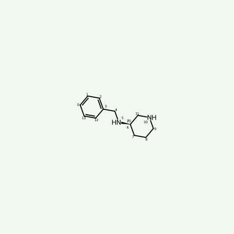 c1ccc(CN[C@@H]2CCCNC2)cc1